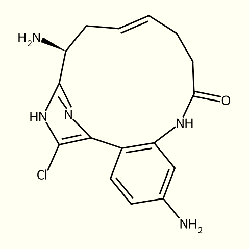 Nc1ccc2c(c1)NC(=O)CC/C=C/C[C@H](N)c1nc-2c(Cl)[nH]1